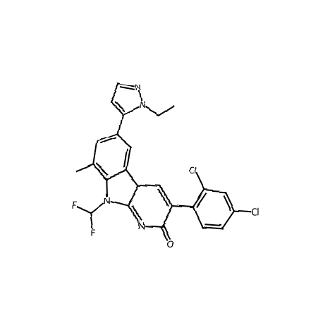 CCn1nccc1-c1cc(C)c2c(c1)C1C=C(c3ccc(Cl)cc3Cl)C(=O)N=C1N2C(F)F